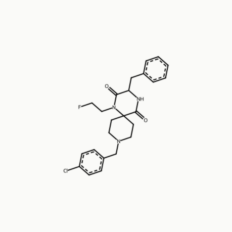 O=C1C(Cc2ccccc2)NC(=O)C2(CCN(Cc3ccc(Cl)cc3)CC2)N1CCF